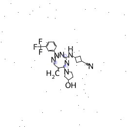 C=C1/C=N\N(c2cccc(C(F)(F)F)c2)/N=C(NC2CC(C#N)C2)\N=C/1N1CCC(O)C1